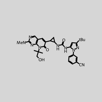 CNc1ncc2cc(C3CC3NC(=O)Nc3cc(C(C)(C)C)nn3-c3cccc(C#N)c3)c(=O)n(C(C)(C)CO)c2n1